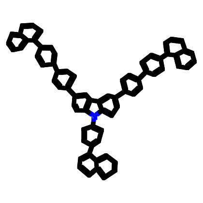 c1ccc2c(-c3ccc(-c4ccc(-c5ccc6c(c5)c5cc(-c7ccc(-c8ccc(-c9cccc%10ccccc9%10)cc8)cc7)ccc5n6-c5ccc(-c6cccc7ccccc67)cc5)cc4)cc3)cccc2c1